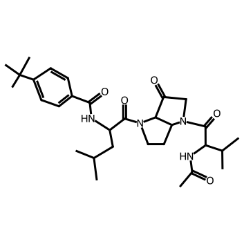 CC(=O)NC(C(=O)N1CC(=O)C2C1CCN2C(=O)C(CC(C)C)NC(=O)c1ccc(C(C)(C)C)cc1)C(C)C